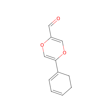 O=CC1=COC(C2=CC=CCC2)=CO1